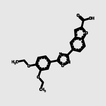 CCOc1ccc(-c2nc(-c3ccc4oc(C(=O)O)cc4c3)no2)cc1OCC